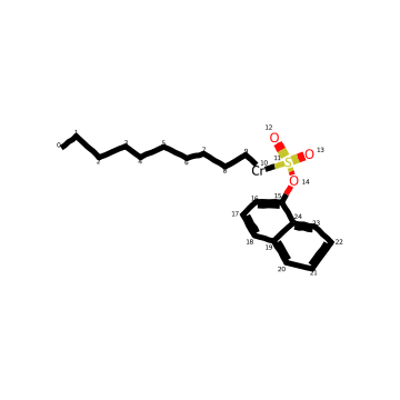 CCCCCCCCC[CH2][Cr][S](=O)(=O)Oc1cccc2ccccc12